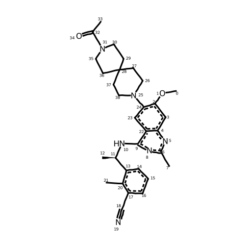 COc1cc2nc(C)nc(N[C@H](C)c3cccc(C#N)c3C)c2cc1N1CCC2(CCN(C(C)=O)CC2)CC1